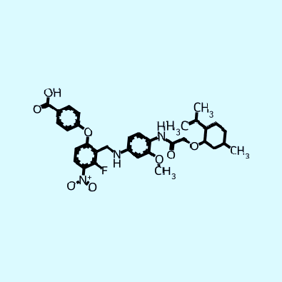 COc1cc(NCc2c(Oc3ccc(C(=O)O)cc3)ccc([N+](=O)[O-])c2F)ccc1NC(=O)COC1CC(C)CCC1C(C)C